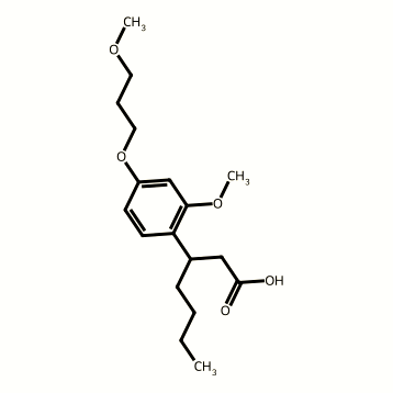 CCCCC(CC(=O)O)c1ccc(OCCCOC)cc1OC